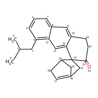 CC(C)Cc1cccc2cc3c(cc12)C1(CC2=CCC1C2)C(=O)CC3